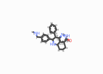 CNCc1ccc(C2NC3CCCc4c3c(n[nH]c4=O)C2c2ccccc2)cc1